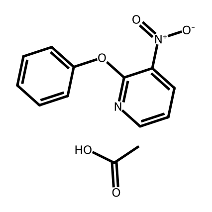 CC(=O)O.O=[N+]([O-])c1cccnc1Oc1ccccc1